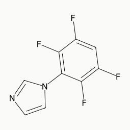 Fc1cc(F)c(F)c(-n2ccnc2)c1F